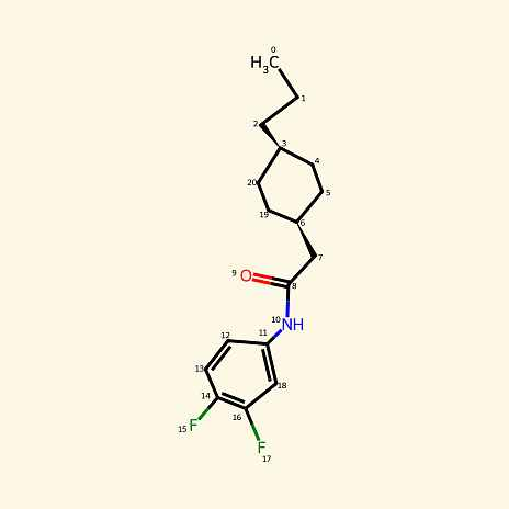 CCC[C@H]1CC[C@@H](CC(=O)Nc2ccc(F)c(F)c2)CC1